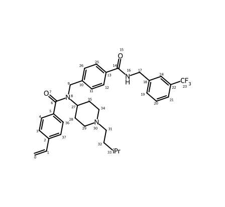 C=Cc1ccc(C(=O)N(Cc2ccc(C(=O)NCc3cccc(C(F)(F)F)c3)cc2)C2CCN(CCC(C)C)CC2)cc1